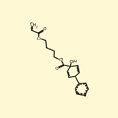 C=CC(=O)OCCCCOC(=O)C1(O)C=CC(c2ccccc2)C=C1